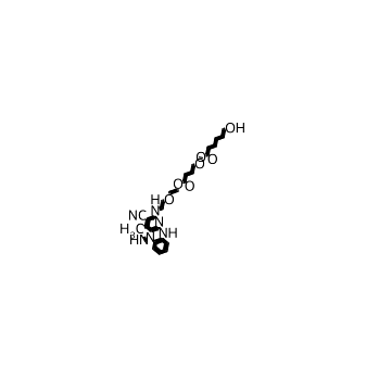 Cc1c(C#N)c(NCCOCCOC(=O)CCCOOC(=O)CCCCCO)nc(Nc2ccccc2)c1N=N